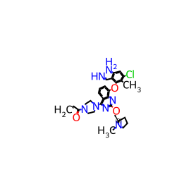 C=CC(=O)N1CCN(c2nc(OC[C@H]3CCCN3C)nc3c(Oc4c(C)c(Cl)cc(N)c4C=N)cccc23)CC1